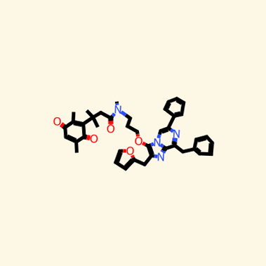 CC1=CC(=O)C(C)=C(C(C)(C)CC(=O)N(C)CCCOc2c(Cc3ccco3)nc3c(Cc4ccccc4)nc(-c4ccccc4)cn23)C1=O